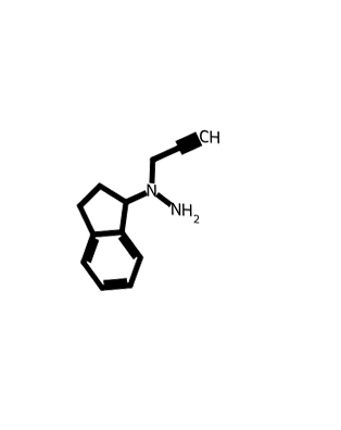 C#CCN(N)C1CCc2ccccc21